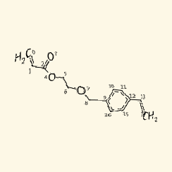 C=CC(=O)OCCOCc1ccc(C=C)cc1